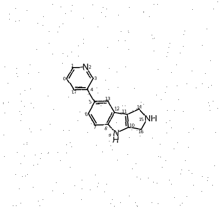 c1cncc(-c2ccc3[nH]c4c(c3c2)CNC4)c1